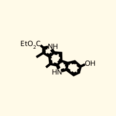 CCOC(=O)c1[nH]c2cc3c([nH]c4ccc(O)cc43)c(C)c2c1C